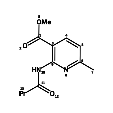 COC(=O)c1ccc(C)nc1NC(=O)C(C)C